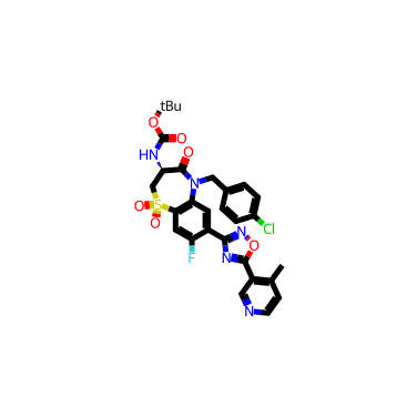 Cc1ccncc1-c1nc(-c2cc3c(cc2F)S(=O)(=O)C[C@H](NC(=O)OC(C)(C)C)C(=O)N3Cc2ccc(Cl)cc2)no1